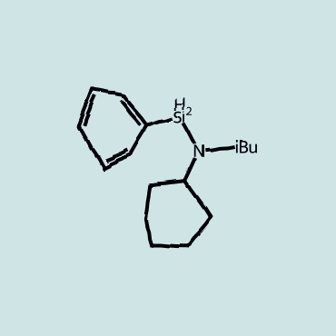 CCC(C)N([SiH2]c1ccccc1)C1CCCCC1